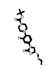 CCSC[C@H]1CN(c2ccc(N3CCN(C(=O)OC(C)(C)C)CC3)c(F)c2)C(=O)O1